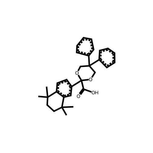 CC1(C)CCC(C)(C)c2cc(C3(C(=O)O)OCC(c4ccccc4)(c4ccccc4)CO3)ccc21